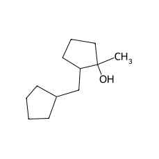 CC1(O)CCCC1CC1CCCC1